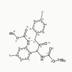 Cc1ccc(C(NC(=O)OC(C)(C)C)C(=O)[C@H](NC(=O)OC(C)(C)C)c2ccc(C)cc2)cc1